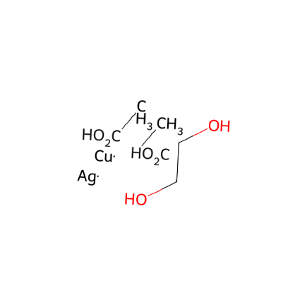 CC(=O)O.CC(=O)O.OCCO.[Ag].[Cu]